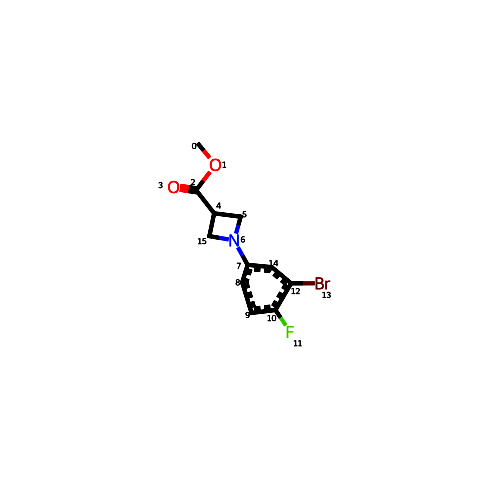 COC(=O)C1CN(c2ccc(F)c(Br)c2)C1